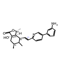 CC1[C@@H](C)C[C@@]2(O)C(=O)O[C@H](C)[C@H]2[C@H]1/C=C/c1ccc(-c2cccc(N)c2)cn1